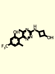 Cc1cc(C(F)(F)F)cc(O)c1-c1nnc(NC2CC(O)C2)nc1C